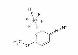 COC1=CCC(=[N+]=[N-])C=C1.F[P-](F)(F)(F)(F)F.[H+]